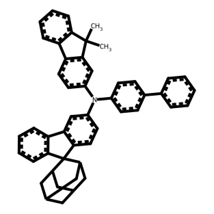 CC1(C)c2ccccc2-c2ccc(N(c3ccc(-c4ccccc4)cc3)c3ccc4c(c3)-c3ccccc3C43C4CC5CC(C4)CC3C5)cc21